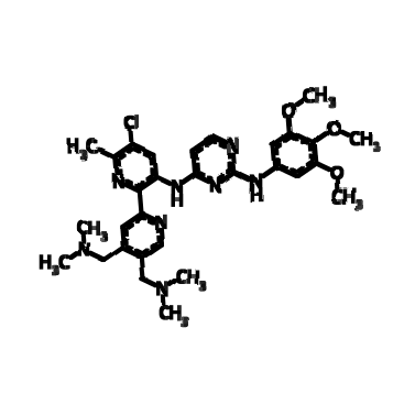 COc1cc(Nc2nccc(Nc3cc(Cl)c(C)nc3-c3cc(CN(C)C)c(CN(C)C)cn3)n2)cc(OC)c1OC